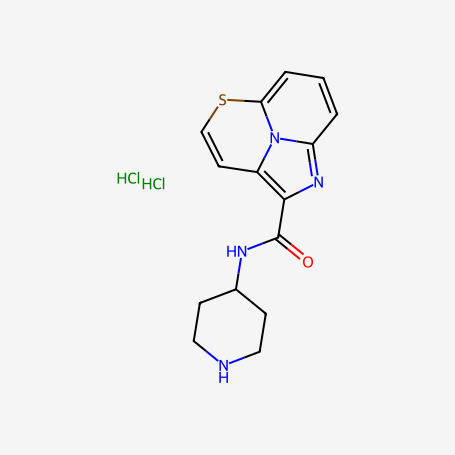 Cl.Cl.O=C(NC1CCNCC1)c1nc2cccc3n2c1C=CS3